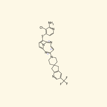 CN1C2=CC=C(Sc3ccnc(N)c3Cl)/C1=N/C=C/C(N1CCC3(CC1)Cc1cc(C(F)(F)F)cnc1C3)=N\2